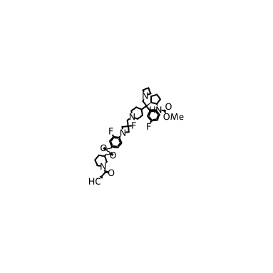 C#CC(=O)N1CCCC(S(=O)(=O)c2ccc(N3CC(F)(CN4CCC(C(CN5CCC5)(c5cccc(F)c5)[C@H]5CCC[C@@H]5NC(=O)OC)CC4)C3)c(F)c2)C1